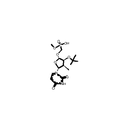 COP(=O)(O)CO[C@H]1O[C@@H](n2ccc(=O)[nH]c2=O)[C@H](C)[C@@H]1OC(C)(C)C